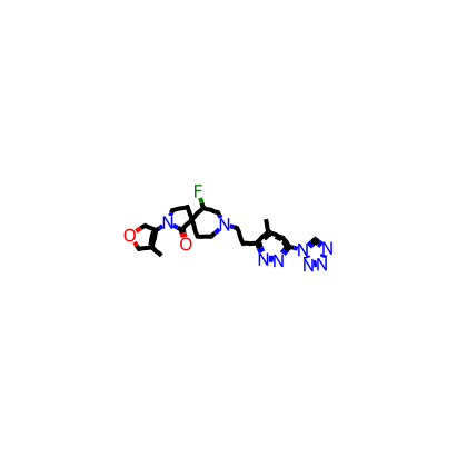 CC1=C(N2CCC3(CCN(CCc4nnc(-n5cnnn5)cc4C)CC3F)C2=O)COC1